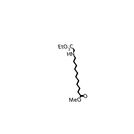 CCOC(=O)CNCCCCCCCCCCC(=O)OC